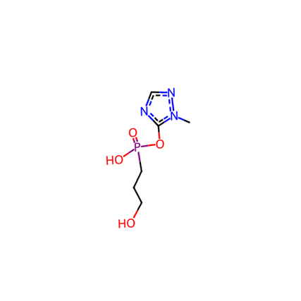 Cn1ncnc1OP(=O)(O)CCCO